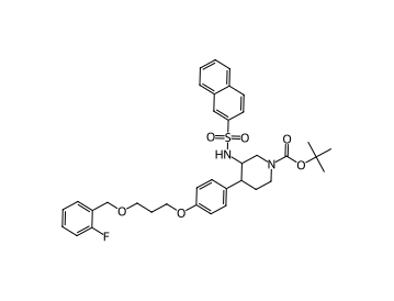 CC(C)(C)OC(=O)N1CCC(c2ccc(OCCCOCc3ccccc3F)cc2)C(NS(=O)(=O)c2ccc3ccccc3c2)C1